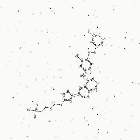 CC(C)S(=O)(=O)CCOCCc1nc(-c2ccc3ncnc(Nc4ccc(OCc5cccc(F)c5)c(Cl)c4)c3c2)cs1